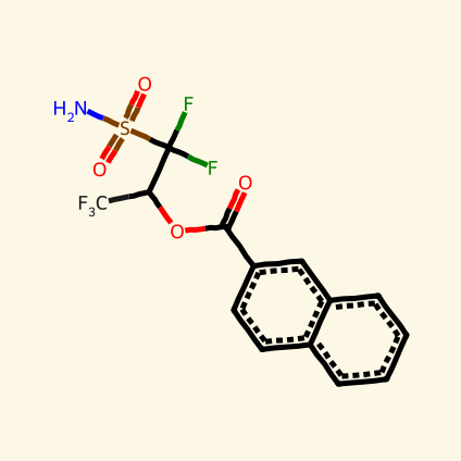 NS(=O)(=O)C(F)(F)C(OC(=O)c1ccc2ccccc2c1)C(F)(F)F